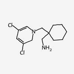 NCC1(CN2C=C(Cl)C=C(Cl)C2)CCCCC1